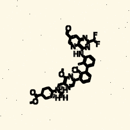 [2H]C([2H])([2H])N(Cc1ncc(-c2cccc(-c3cccc(Nc4nc(C(F)F)nc5cc(C=O)cnc45)c3C)c2Cl)nc1OC)C1CCC(C(=O)OC)CC1